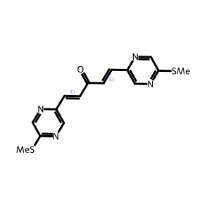 CSc1cnc(/C=C/C(=O)/C=C/c2cnc(SC)cn2)cn1